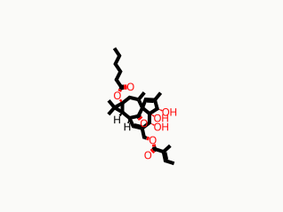 C/C=C(\C)C(=O)OCC1=C[C@@H]2C(=O)C3(C=C(C)[C@H](O)[C@@]3(O)[C@@H]1O)C(C)C[C@]1(OC(=O)CCCCC)[C@H]2C1(C)C